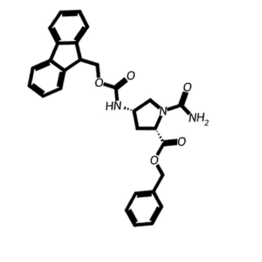 NC(=O)N1C[C@@H](NC(=O)OCC2c3ccccc3-c3ccccc32)C[C@H]1C(=O)OCc1ccccc1